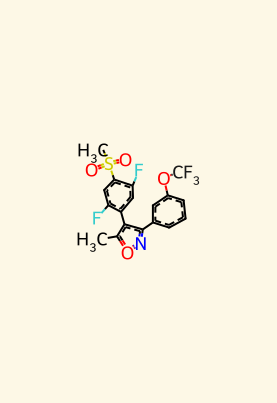 Cc1onc(-c2cccc(OC(F)(F)F)c2)c1-c1cc(F)c(S(C)(=O)=O)cc1F